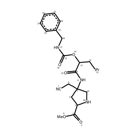 COC(=O)C1CC(CC#N)(NC(=O)C(CC(C)C)OC(=O)NCc2ccccc2)CN1